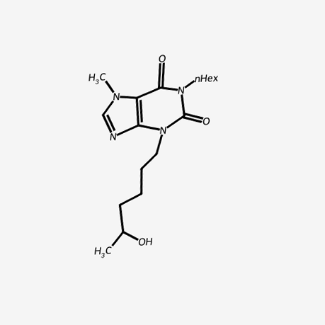 CCCCCCn1c(=O)c2c(ncn2C)n(CCCCC(C)O)c1=O